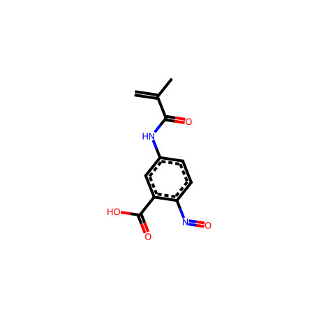 C=C(C)C(=O)Nc1ccc(N=O)c(C(=O)O)c1